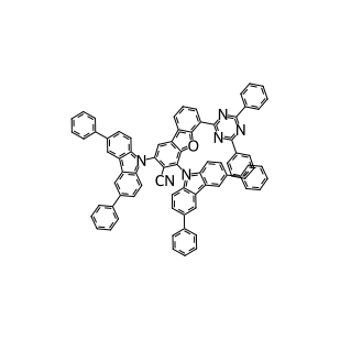 N#Cc1c(-n2c3ccc(-c4ccccc4)cc3c3cc(-c4ccccc4)ccc32)cc2c(oc3c(-c4nc(-c5ccccc5)nc(-c5ccccc5)n4)cccc32)c1-n1c2ccc(-c3ccccc3)cc2c2cc(-c3ccccc3)ccc21